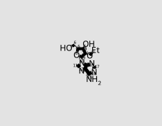 CCO[C@@H]1[C@H](O)[C@@H](CO)O[C@H]1n1cnc2c(N)ncnc21